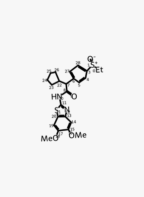 CC[S+]([O-])c1ccc(C(C(=O)Nc2nc3cc(OC)c(OC)cc3s2)C2CCCC2)cc1